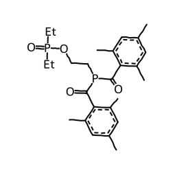 CCP(=O)(CC)OCCP(C(=O)c1c(C)cc(C)cc1C)C(=O)c1c(C)cc(C)cc1C